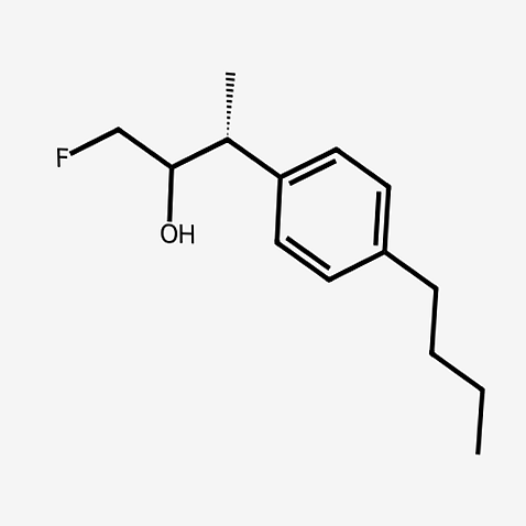 CCCCc1ccc([C@@H](C)C(O)CF)cc1